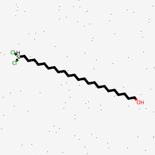 OCCCCCCCCCCCCCCCCCCCCCCC[SiH](Cl)Cl